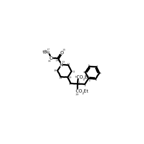 CCOC(=O)C(Cc1ccccc1)(CC1CCN(C(=O)OC(C)(C)C)CC1)C(=O)OCC